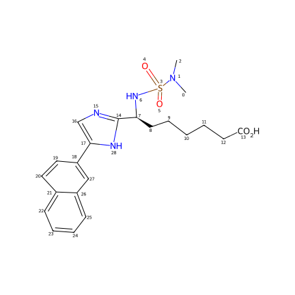 CN(C)S(=O)(=O)N[C@@H](CCCCCC(=O)O)c1ncc(-c2ccc3ccccc3c2)[nH]1